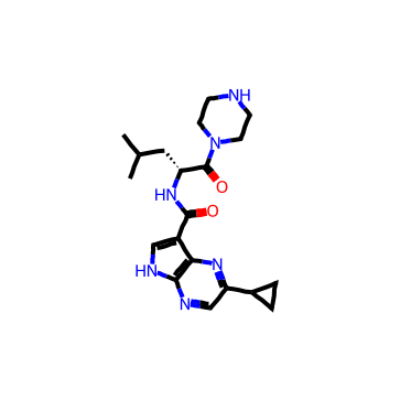 CC(C)C[C@@H](NC(=O)c1c[nH]c2ncc(C3CC3)nc12)C(=O)N1CCNCC1